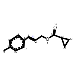 Cc1ccc(/C=C/COC(=O)C2CC2)cc1